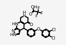 O=C(O)C(F)(F)F.O=C1CNCC2=C1C(c1cccc(Oc3ccc(Cl)c(Cl)c3)c1)c1c[nH]nc1N2